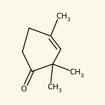 CC1=CC(C)(C)C(=O)CC1